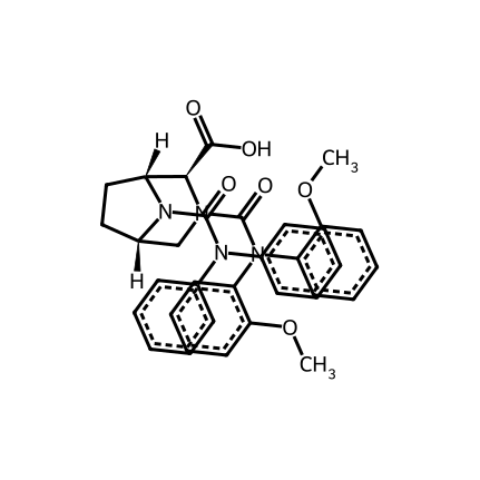 COc1ccccc1N(C(=O)N1C[C@@H]2CC[C@H]([C@H]1C(=O)O)N2C(=O)N(c1ccccc1)c1ccccc1)c1ccccc1OC